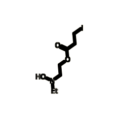 CCN(O)CCOC(=O)CCI